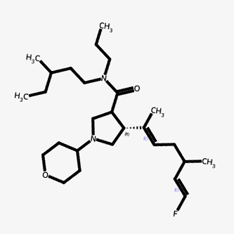 CCCN(CCC(C)CC)C(=O)C1CN(C2CCOCC2)C[C@H]1/C(C)=C/CC(C)/C=C/F